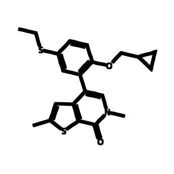 CCSc1ccc(OCC2CC2)c(-c2cn(C)c(=O)c3sc(C)cc23)c1